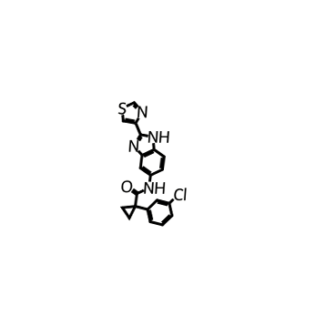 O=C(Nc1ccc2[nH]c(-c3cscn3)nc2c1)C1(c2cccc(Cl)c2)CC1